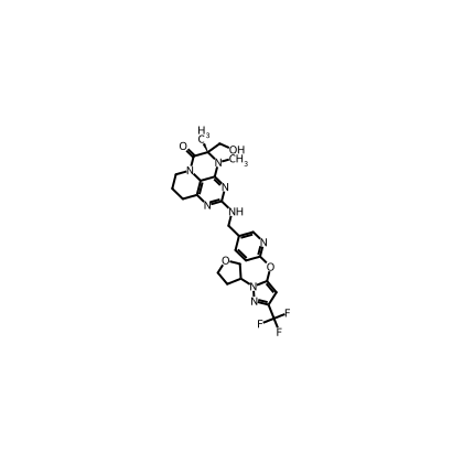 CN1c2nc(NCc3ccc(Oc4cc(C(F)(F)F)nn4C4CCOC4)nc3)nc3c2N(CCC3)C(=O)[C@]1(C)CO